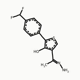 C/C(=N\N)c1csc(-c2ccc(C(F)F)cc2)c1O